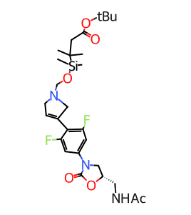 CC(=O)NC[C@H]1CN(c2cc(F)c(C3=CCN(CO[Si](C)(C)C(C)(C)CC(=O)OC(C)(C)C)C3)c(F)c2)C(=O)O1